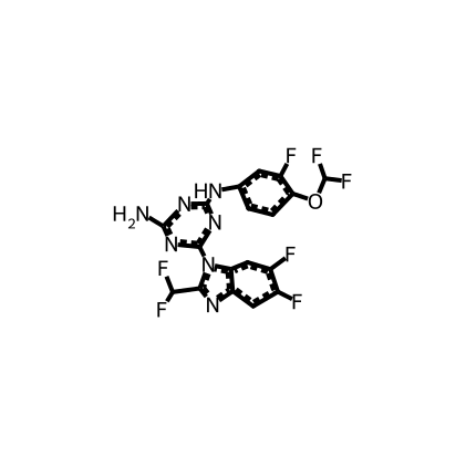 Nc1nc(Nc2ccc(OC(F)F)c(F)c2)nc(-n2c(C(F)F)nc3cc(F)c(F)cc32)n1